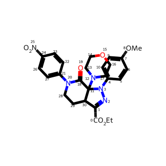 CCOC(=O)C1=NN(c2ccc(OC)cc2)C2(N3CCOCC3)C(=O)N(c3ccc([N+](=O)[O-])cc3)CCC12